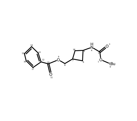 CC(C)(C)OC(=O)NC1CC(COC(=O)c2ccccc2)C1